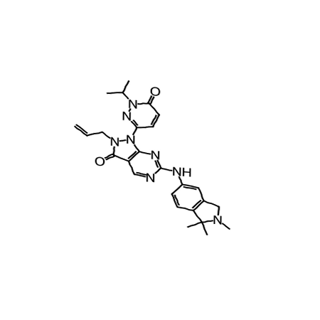 C=CCn1c(=O)c2cnc(Nc3ccc4c(c3)CN(C)C4(C)C)nc2n1-c1ccc(=O)n(C(C)C)n1